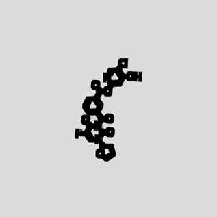 O=C(Oc1cc(O)c(Cl)cn1)c1cccc(C(=O)n2c(=O)c(F)cn(C3CCCO3)c2=O)c1